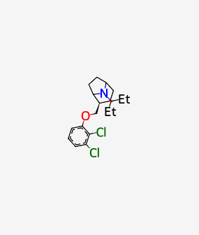 CCC(CC)N1C2CCC1[C@H](COc1cccc(Cl)c1Cl)CC2